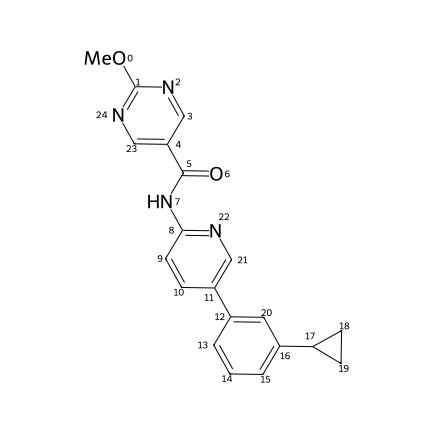 COc1ncc(C(=O)Nc2ccc(-c3cccc(C4CC4)c3)cn2)cn1